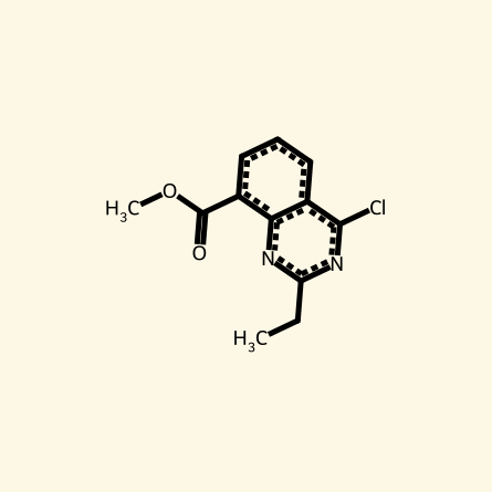 CCc1nc(Cl)c2cccc(C(=O)OC)c2n1